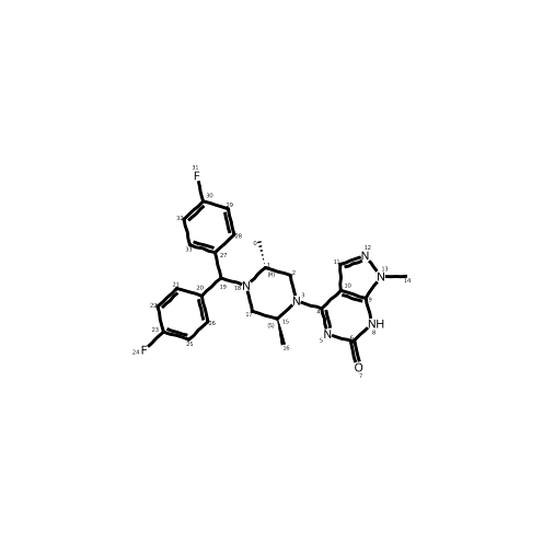 C[C@@H]1CN(c2nc(=O)[nH]c3c2cnn3C)[C@@H](C)CN1C(c1ccc(F)cc1)c1ccc(F)cc1